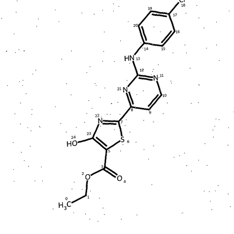 CCOC(=O)c1sc(-c2ccnc(Nc3ccc(Cl)cc3)n2)nc1O